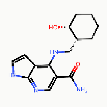 NC(=O)c1cnc2[nH]ccc2c1NC[C@H]1CCCC[C@H]1O